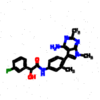 Cc1cc(NC(=O)C(O)c2cccc(F)c2)ccc1-c1cn(C)c2nc(C(F)(F)F)nc(N)c12